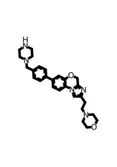 c1cc(-c2ccc3c(c2)OCc2nc(CCN4CCOCC4)cn2-3)ccc1CN1CCNCC1